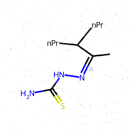 CCCC(CCC)/C(C)=N\NC(N)=S